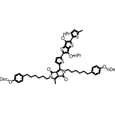 CCCCCCCCCCOc1ccc(CCCCCCN2C(=O)C3=C(c4ccc(-c5sc6c(OCCC)c(-c7ccc(C)s7)sc6c5OCCC)s4)N(CCCCCCc4ccc(OCCCCCCCCCC)cc4)C(=O)C3=C2C)cc1